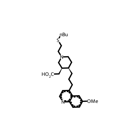 CCCCSCCN1CC[C@@H](CCCc2ccnc3ccc(OC)cc23)[C@@H](CC(=O)O)C1